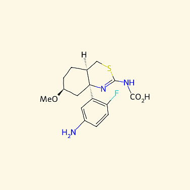 CO[C@H]1CC[C@H]2CSC(NC(=O)O)=N[C@@]2(c2cc(N)ccc2F)C1